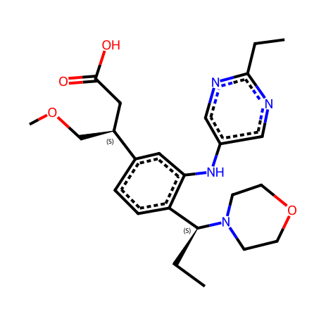 CCc1ncc(Nc2cc([C@@H](COC)CC(=O)O)ccc2[C@H](CC)N2CCOCC2)cn1